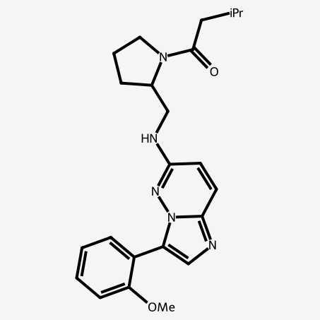 COc1ccccc1-c1cnc2ccc(NCC3CCCN3C(=O)CC(C)C)nn12